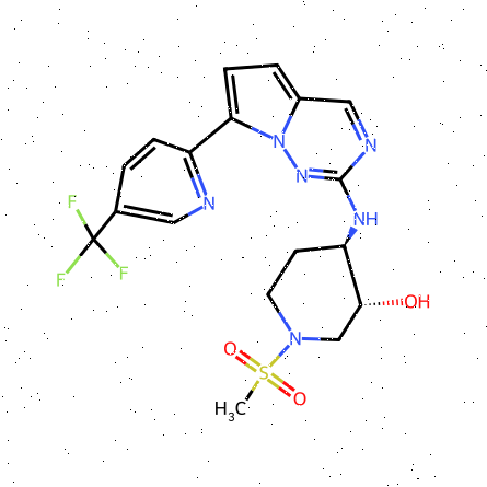 CS(=O)(=O)N1CC[C@@H](Nc2ncc3ccc(-c4ccc(C(F)(F)F)cn4)n3n2)[C@H](O)C1